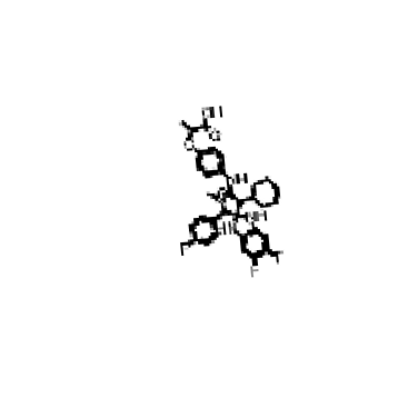 COC(c1ccc(F)cc1)C1(C(C(=O)Nc2ccc(OC(C)C(=O)O)cc2)C2CCCCC2)Nc2cc(F)c(F)cc2N1